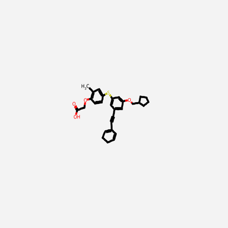 Cc1cc(Sc2cc(C#CC3=CCCC=C3)cc(OCC3CCCC3)c2)ccc1OCC(=O)O